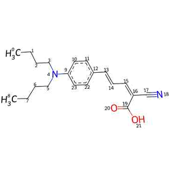 CCCCN(CCCC)c1ccc(C=CC=C(C#N)C(=O)O)cc1